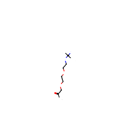 CC(C)(N)NCCOCCOCC(=O)C(C)(C)C